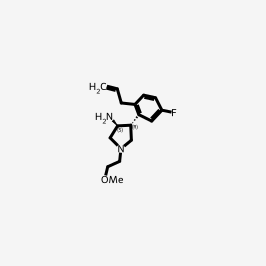 C=CCc1ccc(F)cc1[C@@H]1CN(CCOC)C[C@H]1N